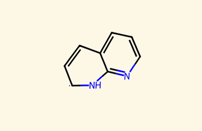 [CH]1C=Cc2cccnc2N1